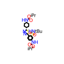 CC(C)OC(=O)Nc1ccc(-c2nnc([C@H]3CC[C@H](NC(=O)OC(C)C)CC3)s2)c(S(=O)(=O)NC(C)(C)C)c1